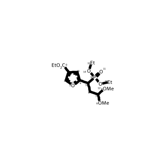 CCOC(=O)c1coc(C(CC(OC)OC)P(=O)(OCC)OCC)c1